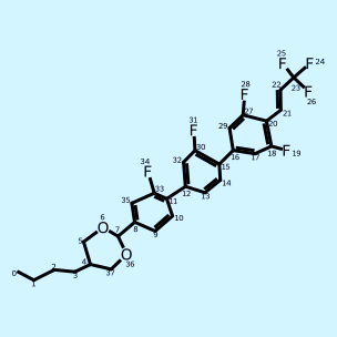 CCCCC1COC(c2ccc(-c3ccc(-c4cc(F)c(/C=C/C(F)(F)F)c(F)c4)c(F)c3)c(F)c2)OC1